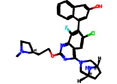 CN1CC[C@H]1CCOc1nc(N2C[C@H]3CC[C@@H](C2)N3)c2cc(Cl)c(-c3cc(O)cc4ccccc34)c(F)c2n1